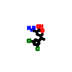 CC(CC(CN)C(=O)O)C(C)c1cc(Cl)cc(Cl)c1